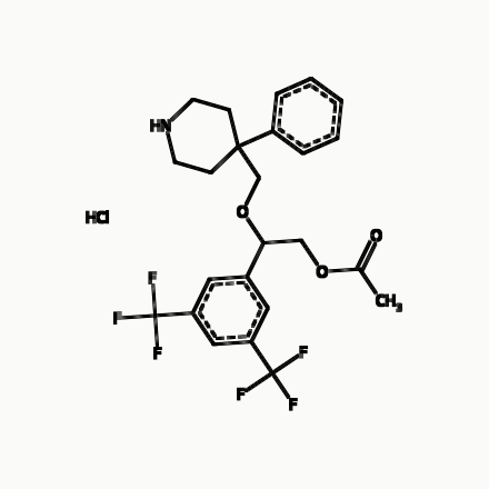 CC(=O)OCC(OCC1(c2ccccc2)CCNCC1)c1cc(C(F)(F)F)cc(C(F)(F)F)c1.Cl